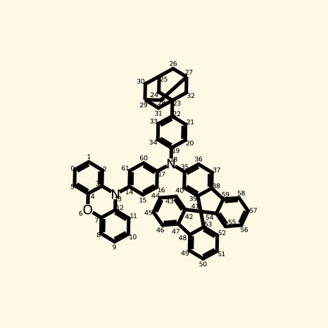 c1ccc2c(c1)Oc1ccccc1N2c1ccc(N(c2ccc(C34CC5CC(CC(C5)C3)C4)cc2)c2ccc3c(c2)C2(c4ccccc4-c4ccccc42)c2ccccc2-3)cc1